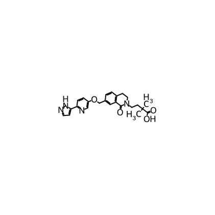 CC(C)(CCN1CCc2ccc(COc3ccc(-c4ccn[nH]4)nc3)cc2C1=O)C(=O)O